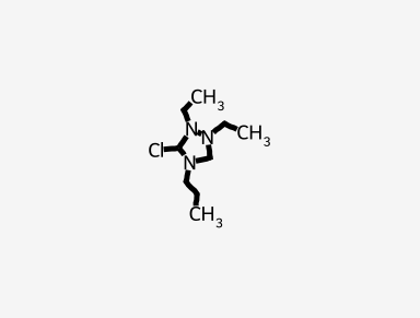 CCCN1CN(CC)N(CC)C1Cl